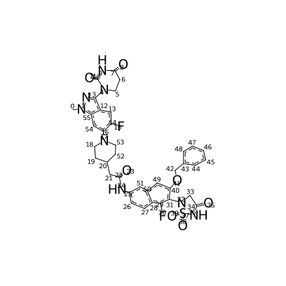 Cn1nc(N2CCC(=O)NC2=O)c2cc(F)c(N3CCC(CC(=O)Nc4ccc5c(F)c(N6CC(=O)NS6(=O)=O)c(OCc6ccccc6)cc5c4)CC3)cc21